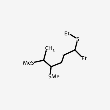 CCSC([CH]CC(SC)C(C)SC)CC